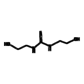 OCCNC(=S)NCCO